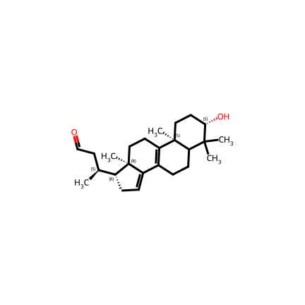 C[C@@H](CC=O)[C@H]1CC=C2C3=C(CC[C@@]21C)[C@@]1(C)CC[C@H](O)C(C)(C)C1CC3